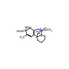 CNC1(NC)CC2=C(C=C1C)[C@@]13CCCC[C@@H]1[C@@H](C2)N(C)CC3